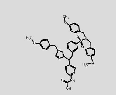 COc1ccc(CN(Cc2ccc(OC)cc2)S(=O)(=O)c2cccc(CC(c3ccc(NC(=O)O)nc3)c3nnn(Cc4ccc(OC)cc4)n3)c2)cc1